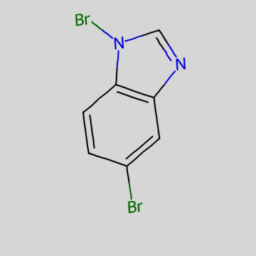 Brc1ccc2c(c1)ncn2Br